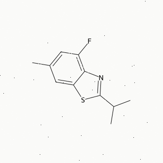 Cc1cc(F)c2nc(C(C)C)sc2c1